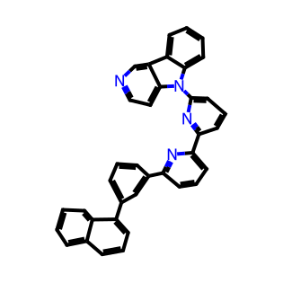 c1cc(-c2cccc(-c3cccc(-n4c5ccccc5c5cnccc54)n3)n2)cc(-c2cccc3ccccc23)c1